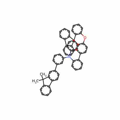 CC1(C)c2ccccc2-c2ccc(-c3cccc(N(c4ccccc4)c4ccccc4-c4ccc5c(c4)C4(c6ccccc6O5)c5ccccc5-c5ccccc54)c3)cc21